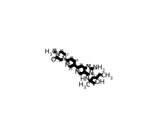 CCCC[C@](C)(CO)Nc1nc(N)nc2cc(-c3ccc(N4CCN(C)C(=O)C4)nc3)ncc12